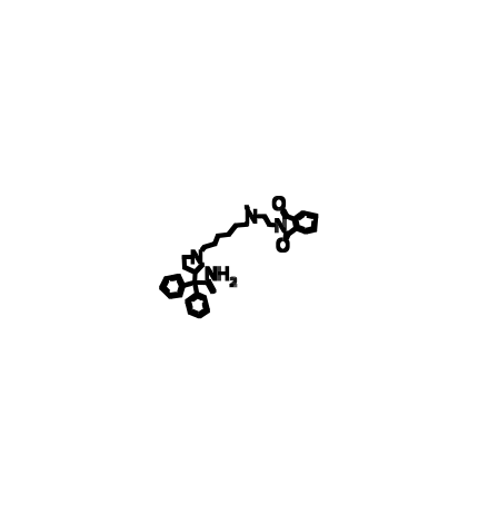 C=C(N)C(c1ccccc1)(c1ccccc1)C1CCN(CCCCCCN(C)CCN2C(=O)c3ccccc3C2=O)C1